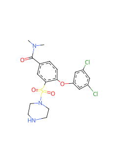 CN(C)C(=O)c1ccc(Oc2cc(Cl)cc(Cl)c2)c(S(=O)(=O)N2CCNCC2)c1